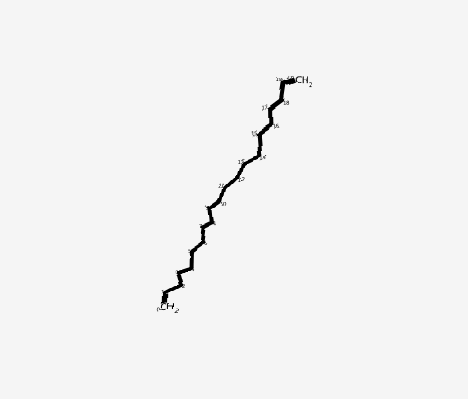 C=CCCCCCCCCCCCCCCCCCC=C